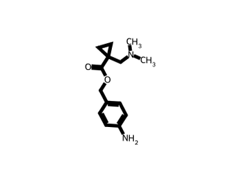 CN(C)CC1(C(=O)OCc2ccc(N)cc2)CC1